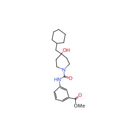 COC(=O)c1cccc(NC(=O)N2CCC(O)(CC3CCCCC3)CC2)c1